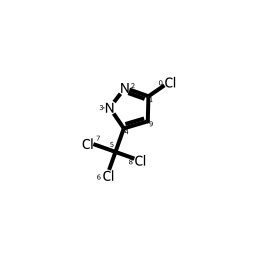 ClC1=N[N]C(C(Cl)(Cl)Cl)=C1